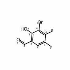 Cc1cc(C=O)c(O)c(Br)c1C